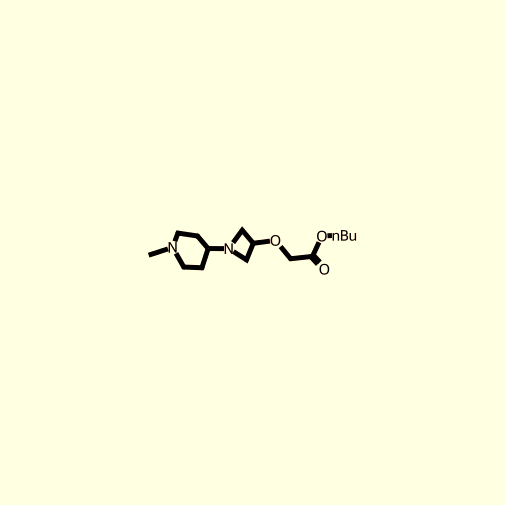 CCCCOC(=O)COC1CN(C2CCN(C)CC2)C1